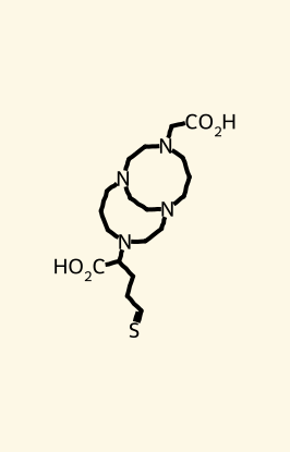 O=C(O)CN1CCCN2CCN(CCCN(C(CCC=S)C(=O)O)CC2)CC1